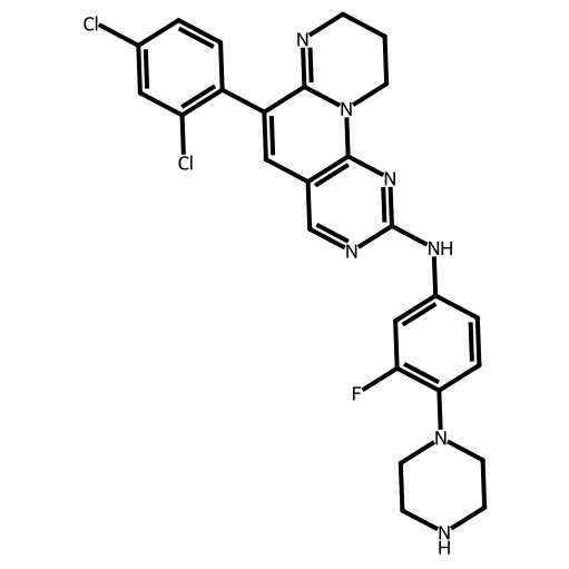 Fc1cc(Nc2ncc3c(n2)N2CCCN=C2C(c2ccc(Cl)cc2Cl)=C3)ccc1N1CCNCC1